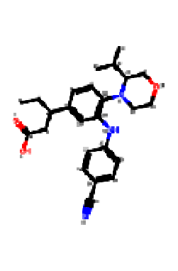 CC[C@H](CC(=O)O)c1ccc(N2CCOC[C@@H]2C(C)C)c(Nc2ccc(C#N)cc2)c1